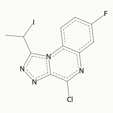 CC(I)c1nnc2c(Cl)nc3cc(F)ccc3n12